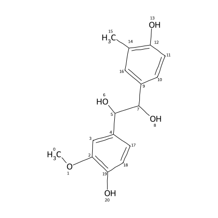 COc1cc(C(O)C(O)c2ccc(O)c(C)c2)ccc1O